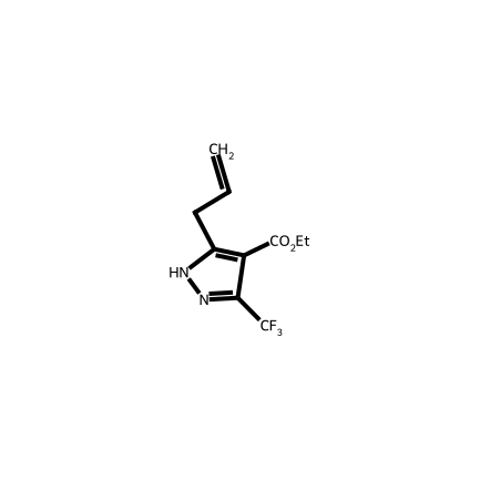 C=CCc1[nH]nc(C(F)(F)F)c1C(=O)OCC